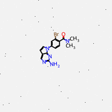 CN(C)C(=O)c1ccc(-n2ccc3cnc(N)nc32)cc1Br